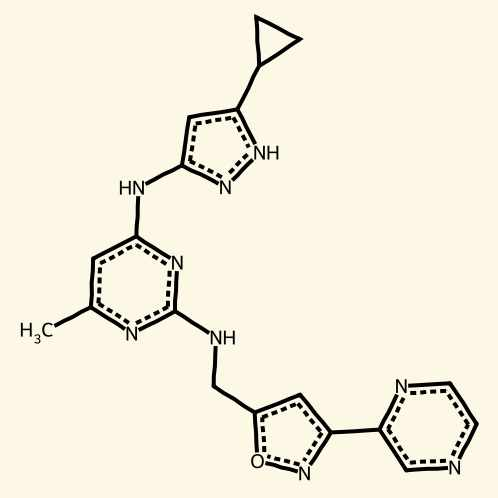 Cc1cc(Nc2cc(C3CC3)[nH]n2)nc(NCc2cc(-c3cnccn3)no2)n1